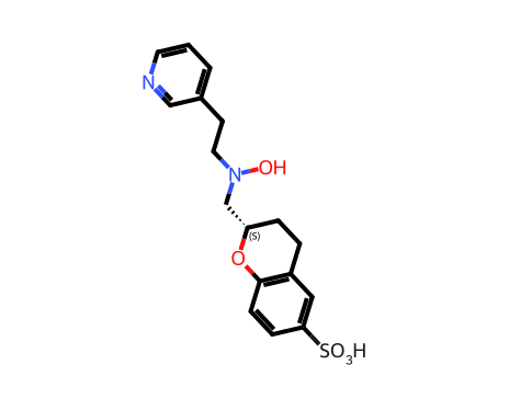 O=S(=O)(O)c1ccc2c(c1)CC[C@@H](CN(O)CCc1cccnc1)O2